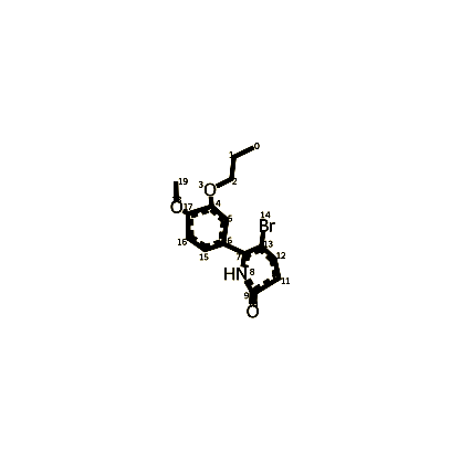 CCCOc1cc(-c2[nH]c(=O)ccc2Br)ccc1OC